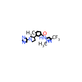 Cc1ccc(C(=O)Nc2cc(C(F)(F)F)nn2C)cc1C1CCN(c2cncnc2)C1